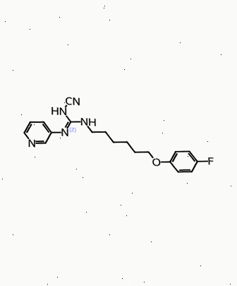 N#CN/C(=N\c1cccnc1)NCCCCCCOc1ccc(F)cc1